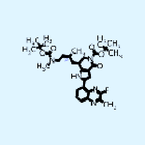 C/C(=C/CN(C)C(=O)OC(C)(C)C)CC1CN(C(=O)OC(C)(C)C)C(=O)c2cc(-c3cccc4nc(C)c(F)nc34)[nH]c21